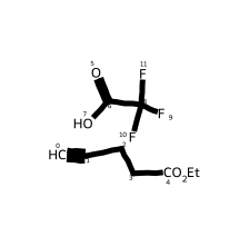 C#CCCC(=O)OCC.O=C(O)C(F)(F)F